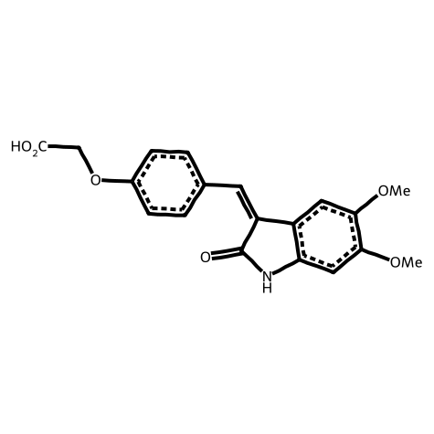 COc1cc2c(cc1OC)/C(=C/c1ccc(OCC(=O)O)cc1)C(=O)N2